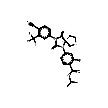 CC(C)OC(=O)c1ccc(N2C(=S)N(c3ccc(C#N)c(C(F)(F)F)c3)C(=O)[C@]23CCOC3)cc1F